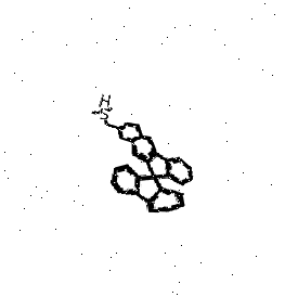 C[SH](C)Cc1ccc2cc3c(cc2c1)C1(c2ccccc2-c2ccccc21)c1ccccc1-3